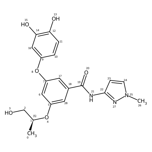 C[C@@H](CO)Oc1cc(Oc2ccc(O)c(O)c2)cc(C(=O)Nc2ccn(C)n2)c1